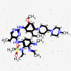 C=Cc1cnc(Nc2cc(CC)c(N3CCC(N4CCN(C)CC4)CC3)cc2OC)nc1Nc1ccc(N=C)c(/N=C/C)c1N(CC)S(C)(=O)=O